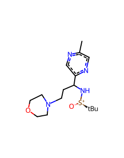 Cc1cnc(C(CCN2CCOCC2)N[S@+]([O-])C(C)(C)C)cn1